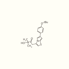 CC(C)(C)Oc1ccc(-c2cc3scc(CC(=O)[N+](C)(C)O)n3c2)cc1